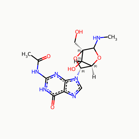 CNC1O[C@H]2[C@H](n3cnc4c(=O)[nH]c(NC(C)=O)nc43)O[C@]1(CO)[C@H]2O